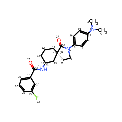 CN(C)c1ccc(N2CC[C@]3(CCC[C@H](NC(=O)c4cccc(F)c4)C3)C2=O)cc1